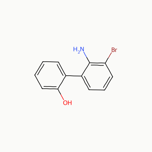 Nc1c(Br)cccc1-c1ccccc1O